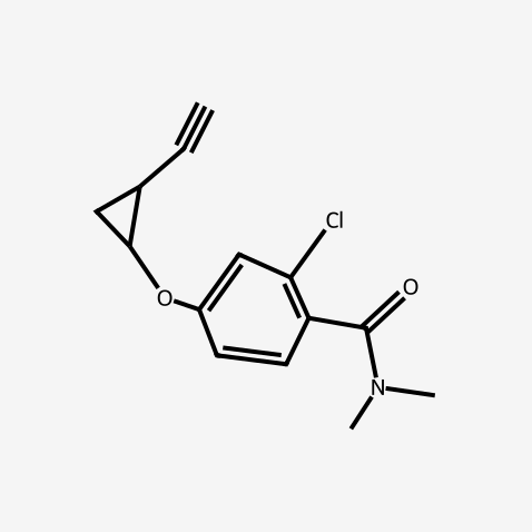 C#CC1CC1Oc1ccc(C(=O)N(C)C)c(Cl)c1